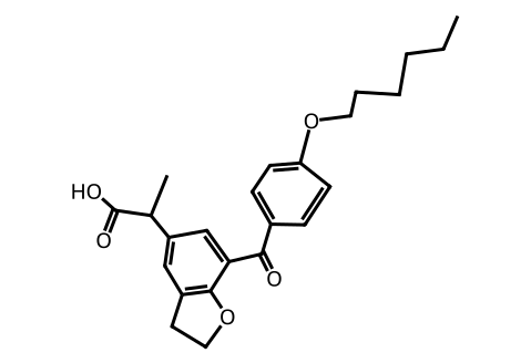 CCCCCCOc1ccc(C(=O)c2cc(C(C)C(=O)O)cc3c2OCC3)cc1